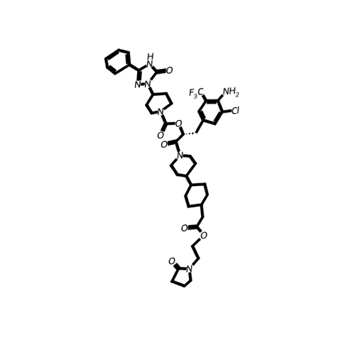 Nc1c(Cl)cc(C[C@@H](OC(=O)N2CCC(n3nc(-c4ccccc4)[nH]c3=O)CC2)C(=O)N2CCC(C3CCC(CC(=O)OCCN4CCCC4=O)CC3)CC2)cc1C(F)(F)F